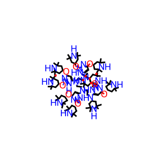 CC1(C)CC(OC2=NN(OC3CC(C)(C)NC(C)(C)C3)NC(N(CCN(CCN(C3=CC(OC4CC(C)(C)NC(C)(C)C4)=NN(OC4CC(C)(C)NC(C)(C)C4)N3)C3CC(C)(C)NC(C)(C)C3)C3=CC(OC4CC(C)(C)NC(C)(C)C4)=NN(OC4CC(C)(C)NC(C)(C)C4)N3)CCN(C3=CC(OC4CC(C)(C)NC(C)(C)C4)=NN(OC4CC(C)(C)NC(C)(C)C4)N3)C3CC(C)(C)NC(C)(C)C3)=C2)CC(C)(C)N1